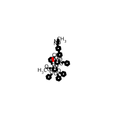 CC(=O)OC[C@H]1O[C@H](Oc2ccc(-c3ccc(-c4nnc(C)o4)cc3)cc2)[C@@H](OCc2ccccc2)[C@@H](C[C@H]2O[C@H](COC(C)=O)[C@@H](OCc3ccccc3)[C@@H](OCc3ccccc3)[C@@H]2OCc2ccccc2)[C@@H]1OCc1ccccc1